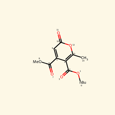 CCCCOC(=O)c1c(C(=O)OC)cc(=O)oc1C